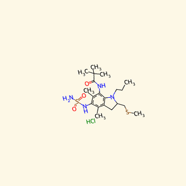 CCCN1c2c(c(C)c(NS(N)(=O)=O)c(C)c2NC(=O)C(C)(C)C)CC1CSC.Cl